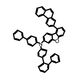 c1ccc(-c2ccc(N(c3ccc(-c4ccccc4-c4ccccc4)cc3)c3ccc4c(c3)oc3cccc(-c5ccc6c(ccc7ccccc76)c5)c34)cc2)cc1